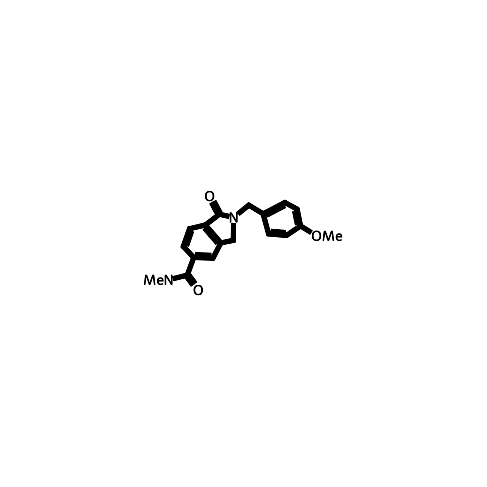 CNC(=O)c1ccc2c(c1)CN(Cc1ccc(OC)cc1)C2=O